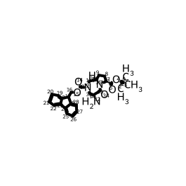 CC(C)(C)OC(=O)[C@@H]1CC[C@H]2CN(C(=O)OCC3c4ccccc4-c4ccccc43)C[C@H](N)C(=O)N21